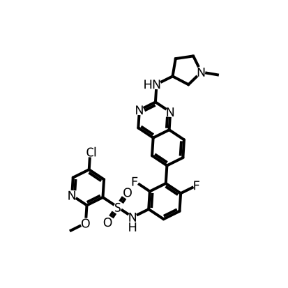 COc1ncc(Cl)cc1S(=O)(=O)Nc1ccc(F)c(-c2ccc3nc(NC4CCN(C)C4)ncc3c2)c1F